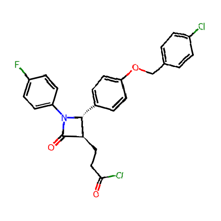 O=C(Cl)CC[C@H]1C(=O)N(c2ccc(F)cc2)[C@@H]1c1ccc(OCc2ccc(Cl)cc2)cc1